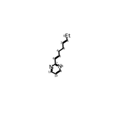 CCC=CCCC=Cc1ncccn1